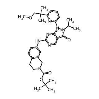 COCC(C)(C)c1cccc(-n2c3nc(Nc4ccc5c(c4)CN(C(=O)OC(C)(C)C)CC5)ncc3c(=O)n2C(C)C)n1